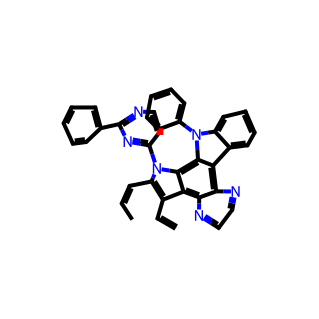 C=Cc1c(/C=C\C)n(-c2ccnc(-c3ccccc3)n2)c2c1c1nccnc1c1c3ccccc3n(-c3ccccc3)c12